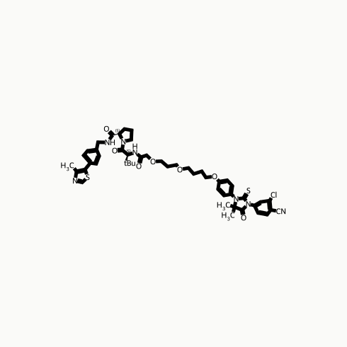 Cc1ncsc1-c1ccc(CNC(=O)[C@@H]2CCCN2C(=O)[C@@H](NC(=O)COCCCOCCCCOc2ccc(N3C(=S)N(c4ccc(C#N)c(Cl)c4)C(=O)C3(C)C)cc2)C(C)(C)C)cc1